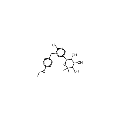 CCOc1ccc(Cc2cc([C@@H]3OC(C)(C)C(O)C(O)[C@H]3O)ccc2Cl)cc1